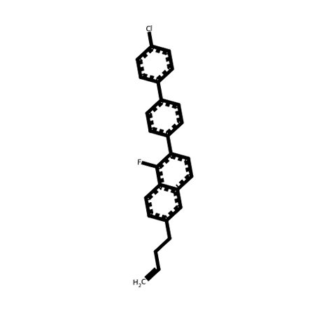 C=CCCc1ccc2c(F)c(-c3ccc(-c4ccc(Cl)cc4)cc3)ccc2c1